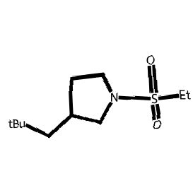 CCS(=O)(=O)N1CCC(CC(C)(C)C)C1